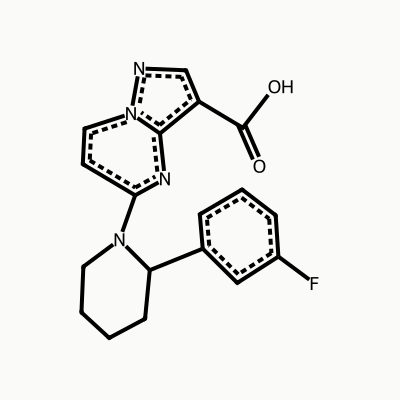 O=C(O)c1cnn2ccc(N3CCCCC3c3cccc(F)c3)nc12